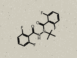 CC(C)(C)N(NC(=O)c1c(F)cccc1F)C(=O)c1c(F)cccc1F